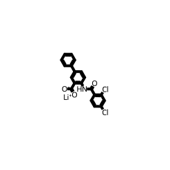 O=C(Nc1ccc(-c2ccccc2)cc1C(=O)[O-])c1ccc(Cl)cc1Cl.[Li+]